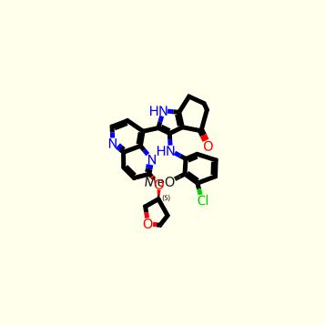 COc1c(Cl)cccc1Nc1c(-c2ccnc3ccc(O[C@H]4CCOC4)nc23)[nH]c2c1C(=O)CCC2